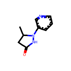 CC1CC(=O)NN1c1cccnc1